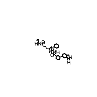 O=C(CCCc1cn(-c2ccccc2)c(NC(=O)c2cccc(-c3ccc4cn[nH]c4c3)c2)n1)NC1CC1